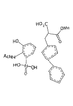 CC(=O)Nc1c(O)cccc1[As](=O)(O)O.COC(=O)C(Cc1ccc(-c2ccccc2)cc1)C(=O)O